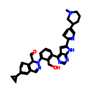 CN1CCCC(c2ccc(-c3cc4c(-c5cccc(N6N=Cc7cc(C8CC8)ccc7C6C=O)c5CO)ncnc4[nH]3)nc2)C1